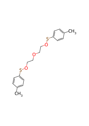 Cc1ccc(SOCCOCCOSc2ccc(C)cc2)cc1